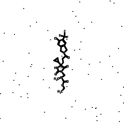 CCOC(=O)N(C)CN1C(=O)N[C@](CCC(=O)N2Cc3cc(Cl)c(C(F)(F)F)cc3C2)(C2CC2)C1=O